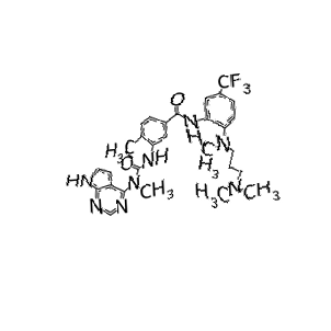 Cc1ccc(C(=O)Nc2cc(C(F)(F)F)ccc2N(C)CCCN(C)C)cc1NC(=O)N(C)c1ncnc2[nH]ccc12